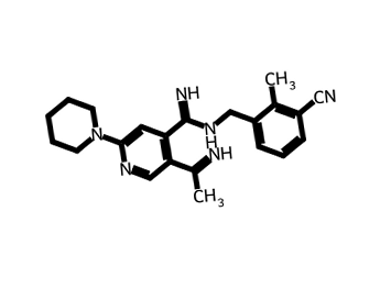 CC(=N)c1cnc(N2CCCCC2)cc1C(=N)NCc1cccc(C#N)c1C